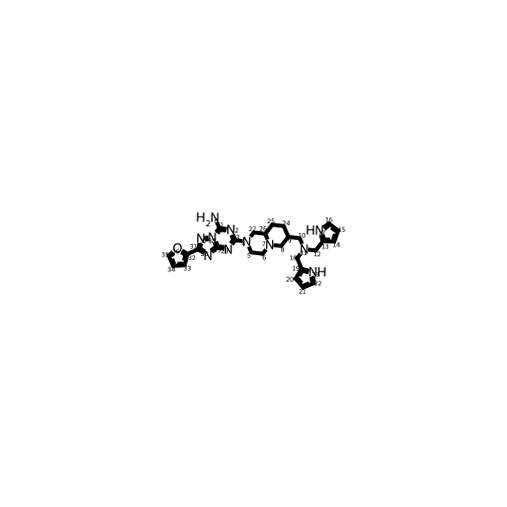 Nc1nc(N2CCN3CC(CN(Cc4ccc[nH]4)Cc4ccc[nH]4)CCC3C2)nc2nc(-c3ccco3)nn12